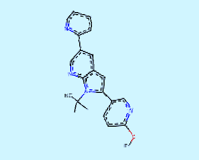 CC(C)Oc1ccc(-c2cc3cc(-c4ccccn4)cnc3n2C(C)(C)C#N)cn1